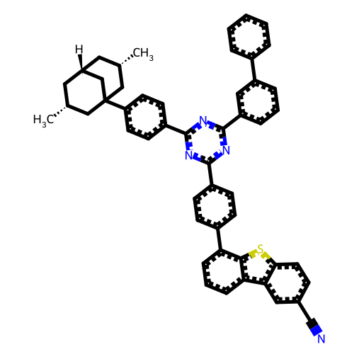 C[C@@H]1C[C@@H]2C[C@H](C)CC(c3ccc(-c4nc(-c5ccc(-c6cccc7c6sc6ccc(C#N)cc67)cc5)nc(-c5cccc(-c6ccccc6)c5)n4)cc3)(C1)C2